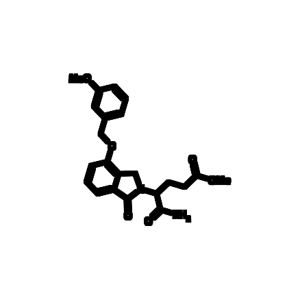 COC(=O)CCC(C(N)=O)N1Cc2c(OCc3cccc(OC)c3)cccc2C1=O